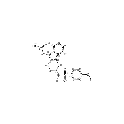 COc1ccc(S(=O)(=O)N(C)C2CCc3c(c4ncccc4n3CC(=O)O)C2)cc1